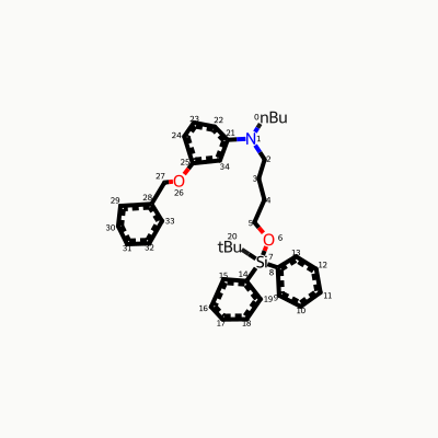 CCCCN(CCCCO[Si](c1ccccc1)(c1ccccc1)C(C)(C)C)c1cccc(OCc2ccccc2)c1